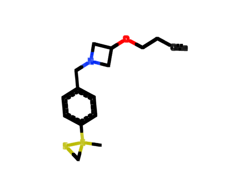 COCCOC1CN(Cc2ccc(S3(C)CS3)cc2)C1